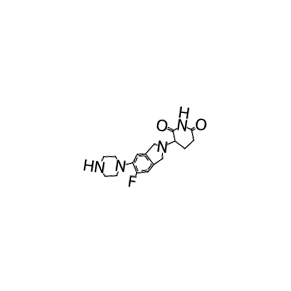 O=C1CCC(N2Cc3cc(F)c(N4CCNCC4)cc3C2)C(=O)N1